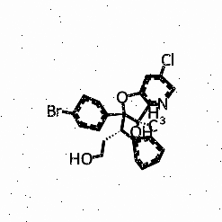 C[C@@]1(O)c2ncc(Cl)cc2O[C@@]1(c1ccc(Br)cc1)[C@@H](CCO)c1ccccc1